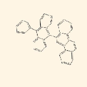 c1ccc(-c2c3ccccc3c(-c3cc4c5ccccc5ccc4c4ccccc34)c3ccccc23)cc1